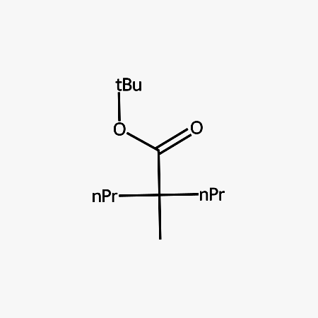 CCCC(C)(CCC)C(=O)OC(C)(C)C